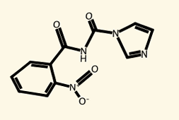 O=C(NC(=O)n1ccnc1)c1ccccc1[N+](=O)[O-]